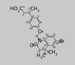 CC(CC(=O)O)c1ccc(OCN2C(=O)CC(C)(C)c3cc(Br)ccc32)cc1